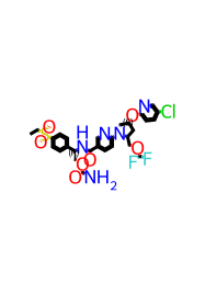 CCS(=O)(=O)c1ccc([C@H](COC(N)=O)NC(=O)c2ccc(N3C[C@@H](Oc4ccc(Cl)cn4)CC3COC(F)F)nc2)cc1